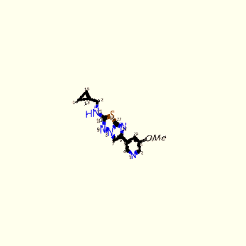 COc1cncc(-c2cn3nc(NCC4CC4)sc3n2)c1